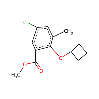 COC(=O)c1cc(Cl)cc(C)c1OC1CCC1